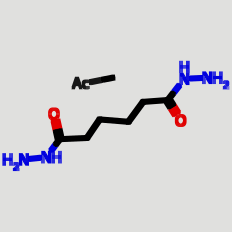 CC(C)=O.NNC(=O)CCCCC(=O)NN